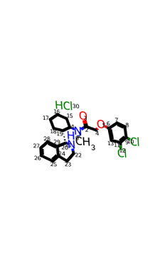 CN(C(=O)COc1ccc(Cl)c(Cl)c1)[C@@H]1CCCC[C@H]1C1NCCc2ccccc21.Cl